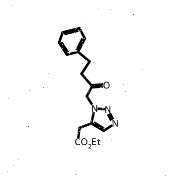 CCOC(=O)Cc1cnnn1CC(=O)CCc1ccccc1